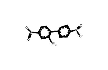 Nc1cc([N+](=O)[O-])ccc1-c1ccc([N+](=O)[O-])cc1